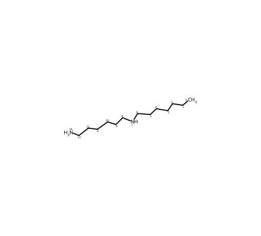 CCCCCCCNCCCCCCN